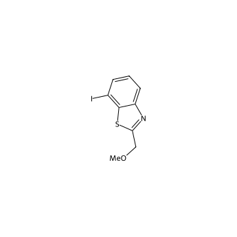 COCc1nc2cccc(I)c2s1